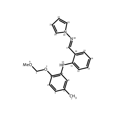 COCOc1ccc(C)cc1Pc1ccccc1/C=N/n1cccc1